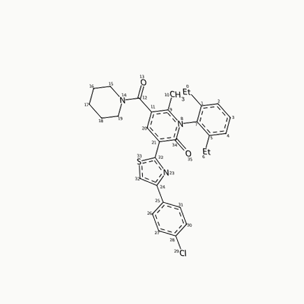 CCc1cccc(CC)c1-n1c(C)c(C(=O)N2CCCCC2)cc(-c2nc(-c3ccc(Cl)cc3)cs2)c1=O